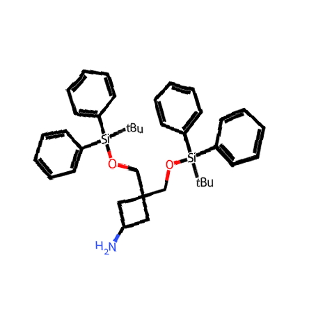 CC(C)(C)[Si](OCC1(CO[Si](c2ccccc2)(c2ccccc2)C(C)(C)C)CC(N)C1)(c1ccccc1)c1ccccc1